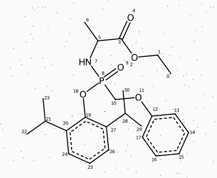 CCOC(=O)C(C)NP(=O)(COc1ccccc1)Oc1c(C(C)C)cccc1C(C)C